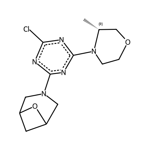 C[C@@H]1COCCN1c1nc(Cl)nc(N2CC3CC(C2)O3)n1